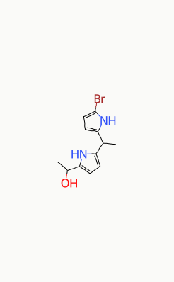 CC(O)c1ccc(C(C)c2ccc(Br)[nH]2)[nH]1